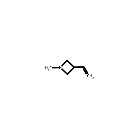 C=CC1CN(C)C1